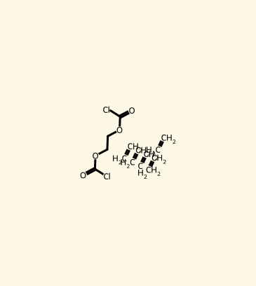 C=C.C=C.C=C.C=C.C=C.O=C(Cl)OCCOC(=O)Cl